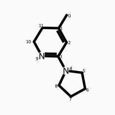 CC1=CC(N2CCCC2)=NCC1